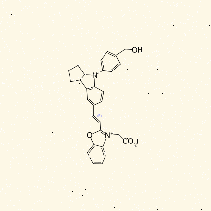 O=C(O)C[n+]1c(/C=C/c2ccc3c(c2)C2CCCC2N3c2ccc(CO)cc2)oc2ccccc21